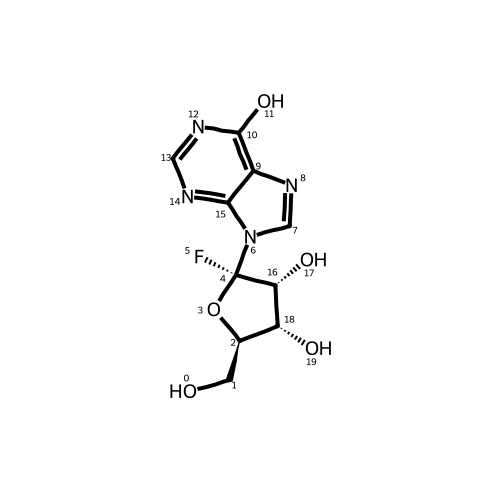 OC[C@H]1O[C@@](F)(n2cnc3c(O)ncnc32)[C@H](O)[C@@H]1O